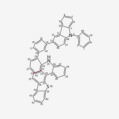 c1ccc(-n2c3ccccc3c3cc(-c4cccc(-c5ccccc5Nc5ccccc5-c5cccc6c5sc5ccccc56)c4)ccc32)cc1